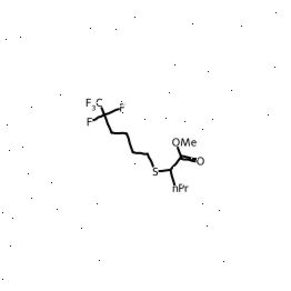 CCCC(SCCCCC(F)(F)C(F)(F)F)C(=O)OC